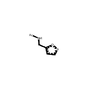 CC(=O)NCc1ccno1